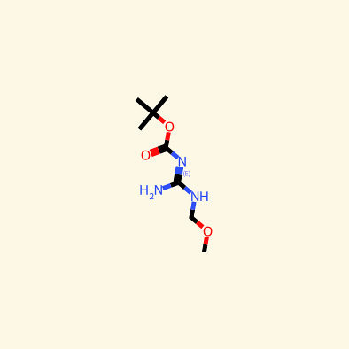 COCN/C(N)=N/C(=O)OC(C)(C)C